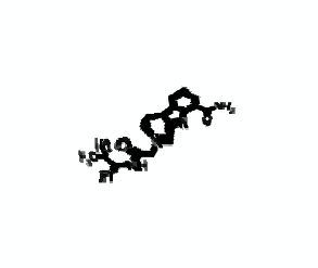 CC(C)C(NC(=O)Cn1ccc2c3cccc(C(N)=O)c3nc-2c1)C(O)C(F)(F)F